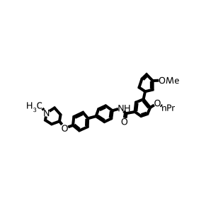 CCCOc1ccc(C(=O)Nc2ccc(-c3ccc(OC4CCN(C)CC4)cc3)cc2)cc1C1C=C(OC)C=CC1